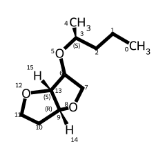 CCC[C@H](C)OC1CO[C@@H]2CCO[C@H]12